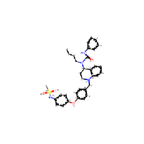 CCCCN(C(=O)Nc1ccccc1)C1CCN(Cc2ccc(Oc3ccc(NS(C)(=O)=O)cc3)cc2)c2ccccc21